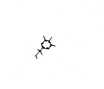 CC(C)(C)CC(C)(C)c1cc(Cl)c(O)c(Cl)c1